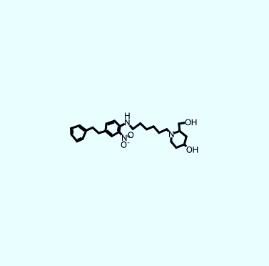 O=[N+]([O-])c1cc(CCc2ccccc2)ccc1NCCCCCCN1CCC(O)CC1CO